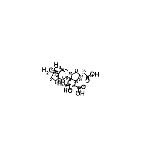 C=C1CC[C@H]2[C@@H](CCO)[C@@H]([C@]3(C)CC[C@H](CC(=O)O)C[C@H]3CC(=O)O)CC[C@]12C